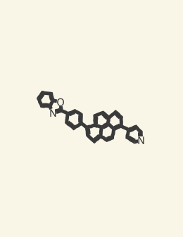 c1ccc2oc(-c3ccc(-c4ccc5ccc6c(-c7ccncc7)ccc7ccc4c5c76)cc3)nc2c1